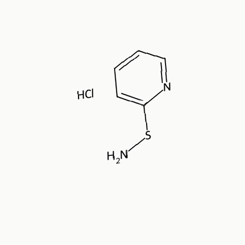 Cl.NSc1ccccn1